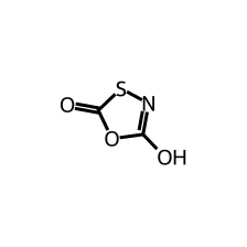 O=c1oc(O)ns1